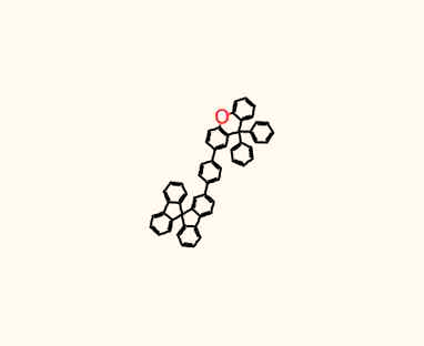 c1ccc(C2(c3ccccc3)c3ccccc3Oc3ccc(-c4ccc(-c5ccc6c(c5)C5(c7ccccc7-c7ccccc75)c5ccccc5-6)cc4)cc32)cc1